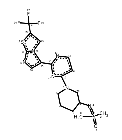 CS(C)(=O)=NC1CCCN(c2ccnc(-c3cnc4sc(C(F)(F)F)cn34)n2)C1